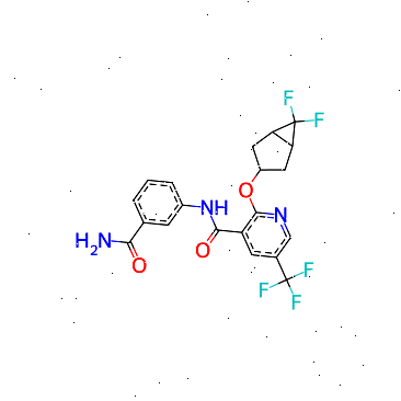 NC(=O)c1cccc(NC(=O)c2cc(C(F)(F)F)cnc2OC2CC3C(C2)C3(F)F)c1